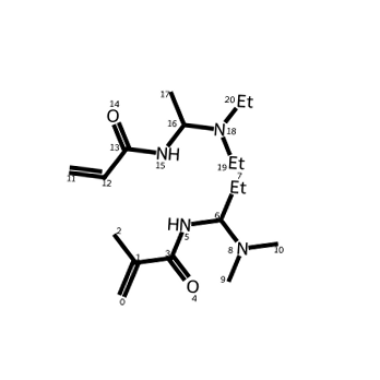 C=C(C)C(=O)NC(CC)N(C)C.C=CC(=O)NC(C)N(CC)CC